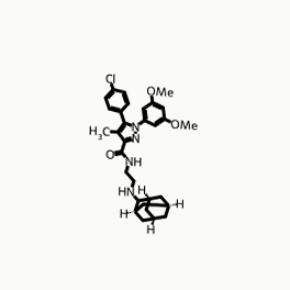 COc1cc(OC)cc(-n2nc(C(=O)NCCNC3[C@H]4C[C@@H]5C[C@@H](C[C@H]3C5)C4)c(C)c2-c2ccc(Cl)cc2)c1